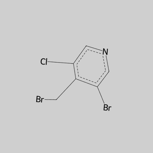 Clc1cncc(Br)c1CBr